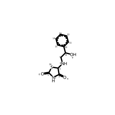 O=C1NC(=O)C(NCC(O)c2ccccc2)S1